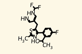 Cc1nc(-c2ccc(F)cc2C(C)O)c(C/C(C=N)=C/NC(F)F)s1